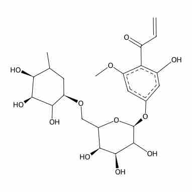 C=CC(=O)c1c(O)cc(O[C@@H]2OC(CO[C@@H]3CC(C)[C@H](O)[C@H](O)C3O)[C@H](O)[C@H](O)C2O)cc1OC